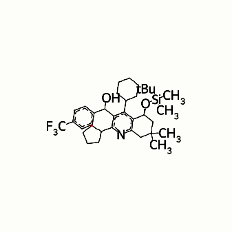 CC1(C)Cc2nc(C3CCCC3)c(C(O)c3ccc(C(F)(F)F)cc3)c(C3CCCCC3)c2[C@@H](O[Si](C)(C)C(C)(C)C)C1